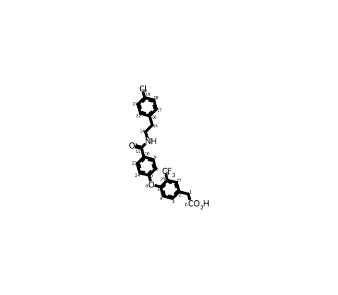 O=C(O)Cc1ccc(Oc2ccc(C(=O)NCCc3ccc(Cl)cc3)cc2)c(C(F)(F)F)c1